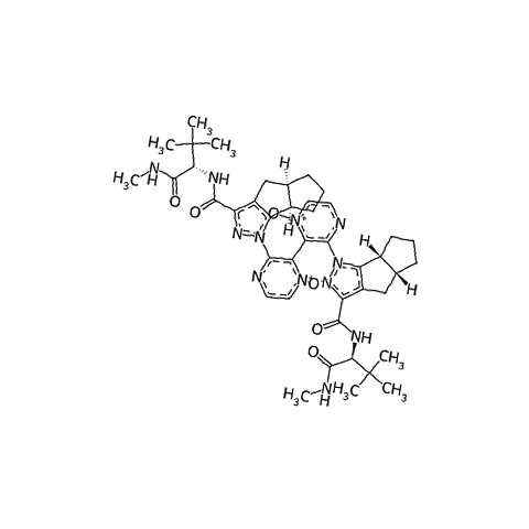 CNC(=O)[C@@H](NC(=O)c1nn(-c2ncc[n+]([O-])c2-c2c(-n3nc(C(=O)N[C@H](C(=O)NC)C(C)(C)C)c4c3[C@@H]3CCC[C@@H]3C4)ncc[n+]2[O-])c2c1C[C@H]1CCC[C@@H]21)C(C)(C)C